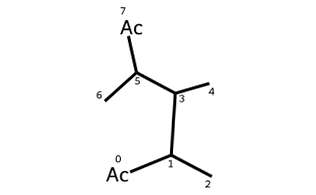 CC(=O)C(C)C(C)C(C)C(C)=O